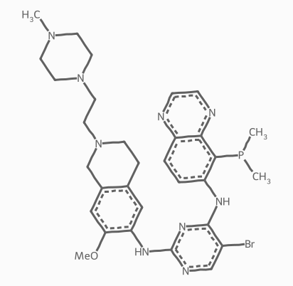 COc1cc2c(cc1Nc1ncc(Br)c(Nc3ccc4nccnc4c3P(C)C)n1)CCN(CCN1CCN(C)CC1)C2